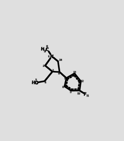 CN1CC(CO)C(c2ccc(F)cc2)C1